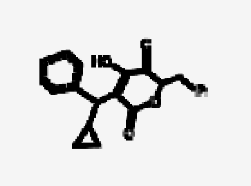 CC(C)CC1OC(=O)C(C(c2ccccc2)C2CC2)=C(O)C1=O